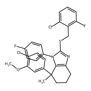 COc1cc(C2(C)CCCc3nc(SCc4c(F)cccc4Cl)n(-c4ccc(F)cc4)c32)ccc1Cl